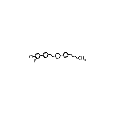 CCCCCc1ccc([C@H]2CC[C@H](CCc3ccc(-c4ccc(Cl)c(F)c4)cc3)CC2)cc1